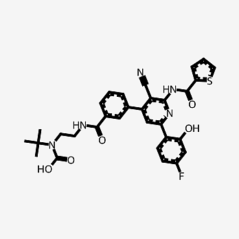 CC(C)(C)N(CCNC(=O)c1cccc(-c2cc(-c3ccc(F)cc3O)nc(NC(=O)c3cccs3)c2C#N)c1)C(=O)O